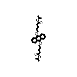 CC(C)OC(=O)CCCCOc1c2ccccc2c(OCCCCC(=O)OC(C)C)c2ccccc12